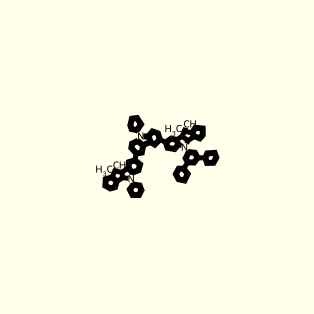 CC1(C)c2ccccc2C2C1c1cc(-c3ccc4c(c3)c3cc(-c5ccc6c(c5)C5C(c7ccccc7C5(C)C)N6c5cc(-c6ccccc6)cc(-c6ccccc6)c5)ccc3n4-c3ccccc3)ccc1N2c1ccccc1